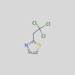 ClC(Cl)(Cl)Cc1n[c]cs1